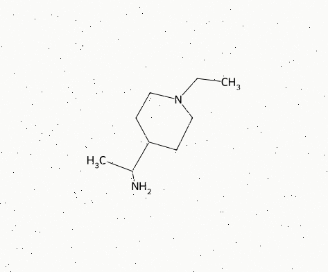 CCN1CCC(C(C)N)CC1